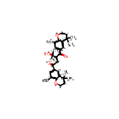 CC(C)(C)c1cc(C(=O)CC(C(=O)c2cc(C(C)(C)C)c3c(c2)C(C)(C)CCO3)C(C)(C)O)cc2c1OCCC2(C)C